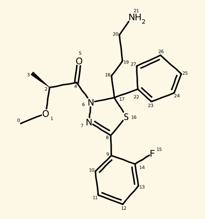 CO[C@@H](C)C(=O)N1N=C(c2ccccc2F)SC1(CCCN)c1ccccc1